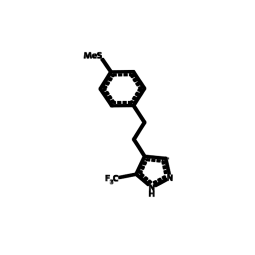 CSc1ccc(CCc2[c]n[nH]c2C(F)(F)F)cc1